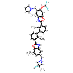 Cc1c(-c2nc3cc(CN4CCC[C@H]4C(=O)O)c(OC(F)F)cc3o2)cccc1-c1cccc(-c2nc3cc(CN4CC(C)(F)C4)cc(C(F)(F)F)c3o2)c1C